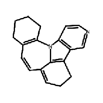 C1=CC2=C(CCCC2)n2c3c(c4cnccc42)CCC=C13